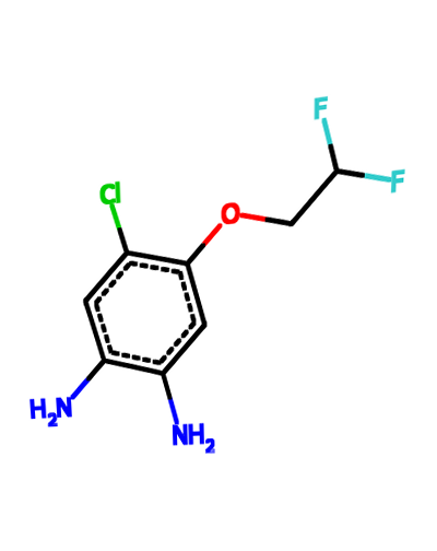 Nc1cc(Cl)c(OCC(F)F)cc1N